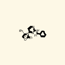 CC[C@H](Nc1nccc(N2C(=O)OC[C@@H]2C(C)C)n1)c1ccccc1